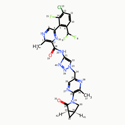 Cc1ncc(-c2c(C(F)F)ccc(Cl)c2F)nc1C(=O)Nc1cn(Cc2cnc(N3C[C@H]4C[C@H]4C3=O)c(C)n2)nn1